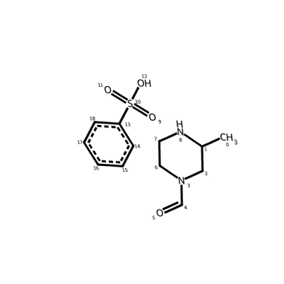 CC1CN(C=O)CCN1.O=S(=O)(O)c1ccccc1